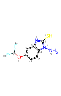 Nn1c(S)nc2cc(OC(F)F)ccc21